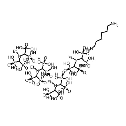 CCN(C(P(=O)(O)O)P(=O)(O)O)C(P(=O)(O)O)P(=O)(O)O.CCN(C(P(=O)(O)O)P(=O)(O)O)C(P(=O)(O)O)P(=O)(O)O.CCN(C(P(=O)(O)O)P(=O)(O)O)C(P(=O)(O)O)P(=O)(O)O.CCN(C(P(=O)(O)O)P(=O)(O)O)C(P(=O)(O)O)P(=O)(O)O.NCCCCCCN